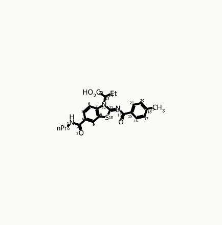 CCCNC(=O)c1ccc2c(c1)sc(=NC(=O)c1ccc(C)cc1)n2C(CC)C(=O)O